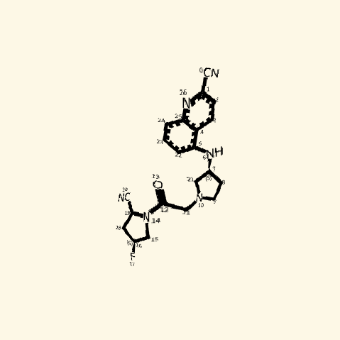 N#Cc1ccc2c(N[C@H]3CCN(CC(=O)N4C[C@@H](F)CC4C#N)C3)cccc2n1